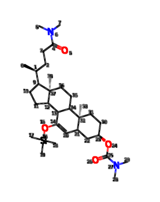 C[C@@H](CCC(=O)N(C)C)C1CCC2C3C(O[Si](C)(C)C)=CC4C[C@H](OC(=O)N(C)C)CC[C@]4(C)C3CC[C@@]21C